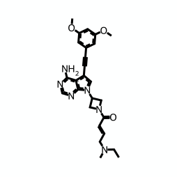 CCN(C)CC=CC(=O)N1CC(n2cc(C#Cc3cc(OC)cc(OC)c3)c3c(N)ncnc32)C1